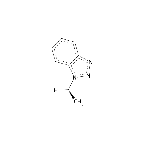 C[C@@H](I)n1nnc2ccccc21